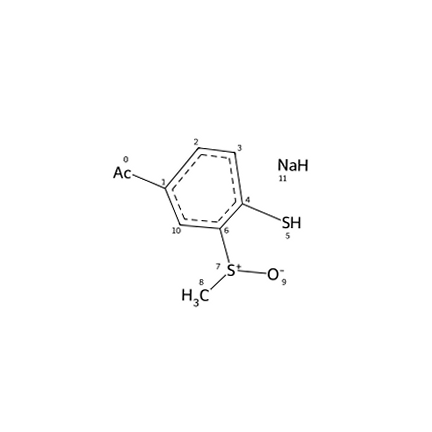 CC(=O)c1ccc(S)c([S+](C)[O-])c1.[NaH]